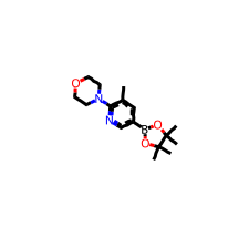 Cc1cc(B2OC(C)(C)C(C)(C)O2)cnc1N1CCOCC1